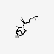 O=C(CCC(F)(F)F)N1CC2CC(C1)N2